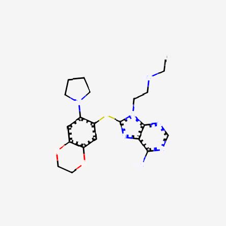 CC(C)CNCCn1c(Sc2cc3c(cc2N2CCCC2)OCCO3)nc2c(N)ncnc21